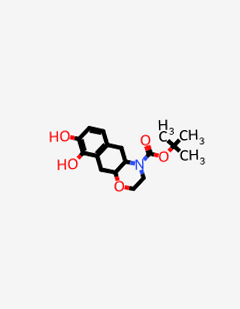 CC(C)(C)OC(=O)N1CCOC2Cc3c(ccc(O)c3O)CC21